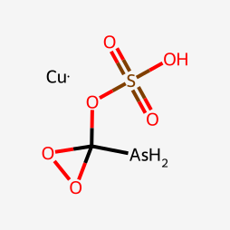 O=S(=O)(O)OC1([AsH2])OO1.[Cu]